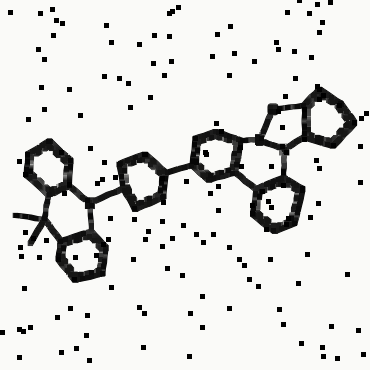 CC1(C)c2ccccc2N(c2ccc(-c3ccc4c(c3)-c3ccccc3N3B4Oc4ccccc43)cc2)c2ccccc21